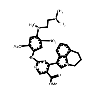 COC(=O)c1cnc(Nc2cc([N+](=O)[O-])c(N(C)CCN(C)C)cc2OC)nc1-c1cn2c3c(cccc13)CCC2